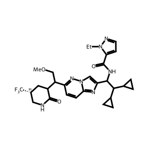 CCn1nccc1C(=O)NC(c1cn2nc(C(COC)C3C[C@@H](C(F)(F)F)CNC3=O)ccc2n1)C(C1CC1)C1CC1